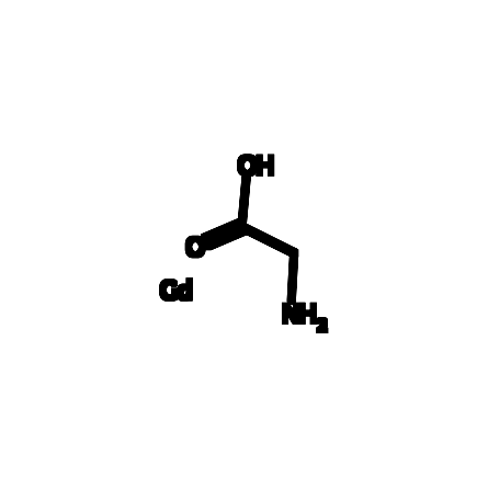 NCC(=O)O.[Gd]